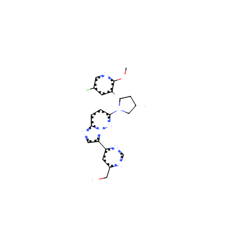 COc1ncc(F)cc1[C@H]1C[C@H](F)CN1c1ccc2ncc(-c3cc(CO)ncn3)n2n1